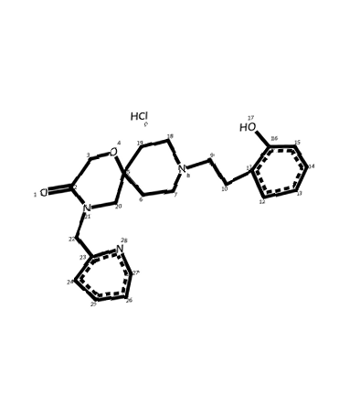 Cl.O=C1COC2(CCN(CCc3ccccc3O)CC2)CN1Cc1ccccn1